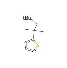 CC(C)(C)CC(C)(C)c1cccs1